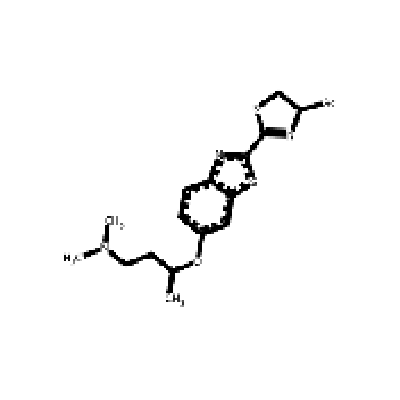 CC(=O)C1CSC(c2nc3ccc(OC(C)CCN(C)C)cc3s2)=N1